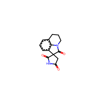 O=C1CC2(C(=O)N1)C(=O)N1CCCc3cccc2c31